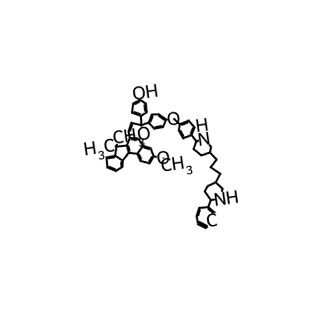 COc1ccc2c3c(c4c(c2c1)OC(c1ccc(O)cc1)(c1ccc(Oc2ccc(C5CCC(CCCC6CCC(C7=CCC#CC=C7)NC6)CN5)cc2)cc1)C=C4)C(C)(C)c1ccccc1-3